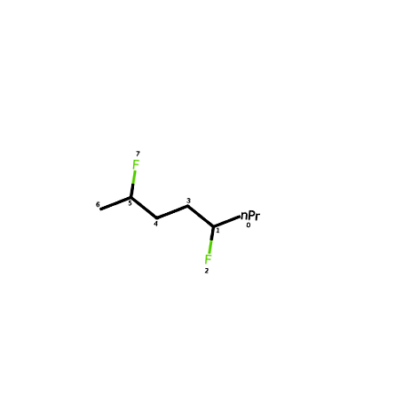 CCCC(F)CCC(C)F